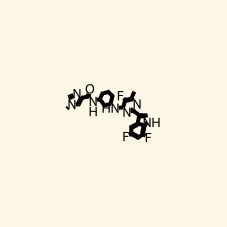 Cc1nc(-c2c[nH]c3c(F)cc(F)cc23)nc(NC2CCCC(NC(=O)c3cn(C)cn3)C2)c1F